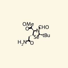 COC(=O)[C@@H]1[C@@H](CC(N)=O)[Se][C@H](C(C)(C)C)N1C=O